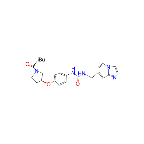 CC[C@H](C)C(=O)N1CC[C@H](Oc2ccc(NC(=O)NCc3ccn4ccnc4c3)cc2)C1